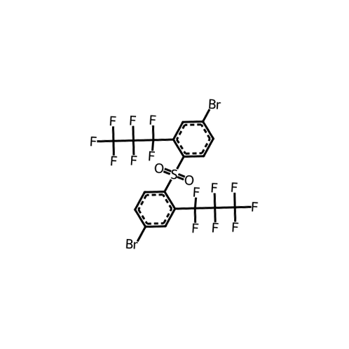 O=S(=O)(c1ccc(Br)cc1C(F)(F)C(F)(F)C(F)(F)F)c1ccc(Br)cc1C(F)(F)C(F)(F)C(F)(F)F